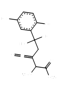 COC(=O)C(OC)C(=C=O)CC(C)(C)c1cc(C)ccc1O